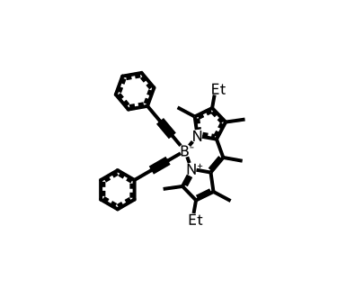 CCC1=C(C)C2=C(C)c3c(C)c(CC)c(C)n3[B-](C#Cc3ccccc3)(C#Cc3ccccc3)[N+]2=C1C